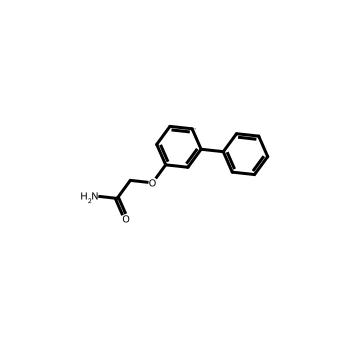 NC(=O)COc1cc[c]c(-c2ccccc2)c1